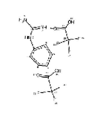 N=C(N)Nc1ccccc1.O=C(O)C(F)(F)F.O=C(O)C(F)(F)F